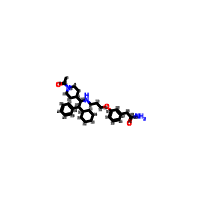 CC(=O)N1CCC(C(NCCCOc2cccc(CC(N)=O)c2)C(c2ccccc2)C2CCCCC2)CC1